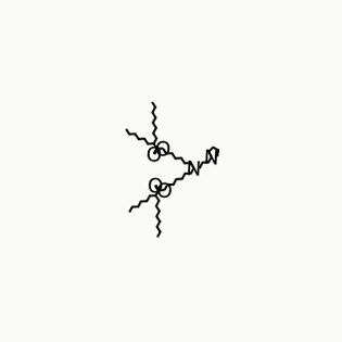 CCCCCCCCC(CCCCCC)C(=O)OCCCCCCN(CCCCCCOC(=O)C(CCCCCC)CCCCCCCC)CCCN1CCCC1